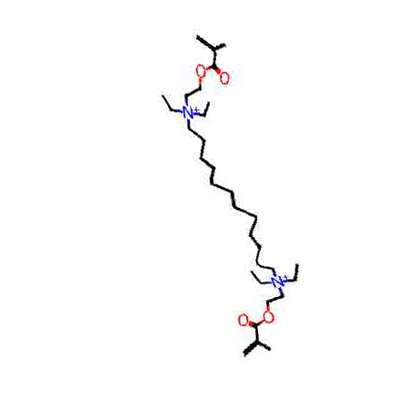 C=C(C)C(=O)OCC[N+](CC)(CC)CCCCCCCCCCCC[N+](CC)(CC)CCOC(=O)C(=C)C